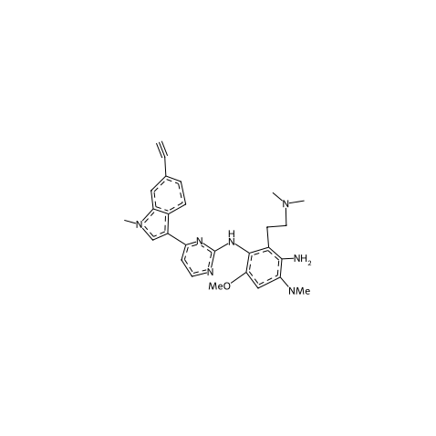 C#Cc1ccc2c(-c3ccnc(Nc4c(OC)cc(NC)c(N)c4CCN(C)C)n3)cn(C)c2c1